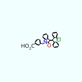 O=C(O)c1cccc(CN2C(=O)/C(=C(\c3ccccc3)c3ccccc3Cl)c3ccccc32)c1